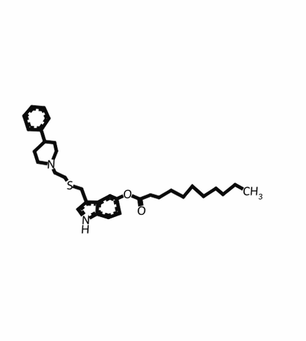 CCCCCCCCCCC(=O)Oc1ccc2[nH]cc(CSCCN3CCC(c4ccccc4)CC3)c2c1